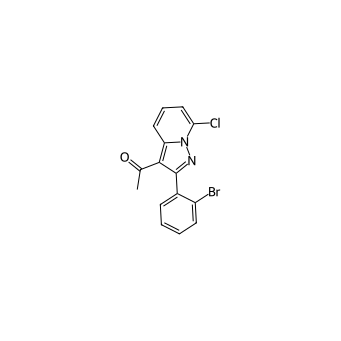 CC(=O)c1c(-c2ccccc2Br)nn2c(Cl)cccc12